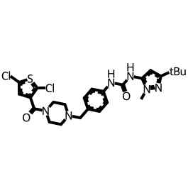 Cn1nc(C(C)(C)C)cc1NC(=O)Nc1ccc(CN2CCN(C(=O)c3cc(Cl)sc3Cl)CC2)cc1